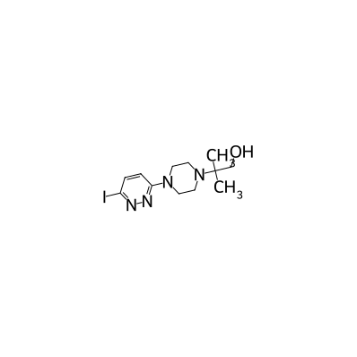 CC(C)(CO)N1CCN(c2ccc(I)nn2)CC1